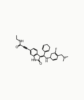 CCNC(=O)C#Cc1ccc2c(c1)NC(=O)/C2=C(\NC1C=CC(CN(C)C)=C(F)C1)C1=CCCC=C1